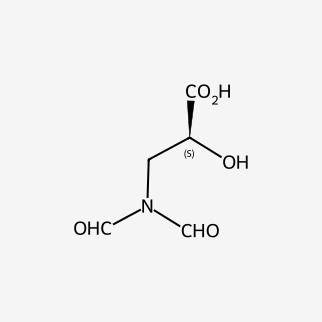 O=CN(C=O)C[C@H](O)C(=O)O